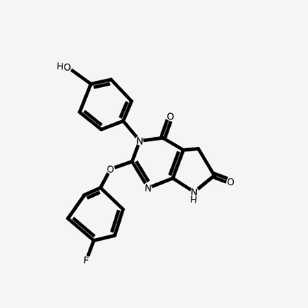 O=C1Cc2c(nc(Oc3ccc(F)cc3)n(-c3ccc(O)cc3)c2=O)N1